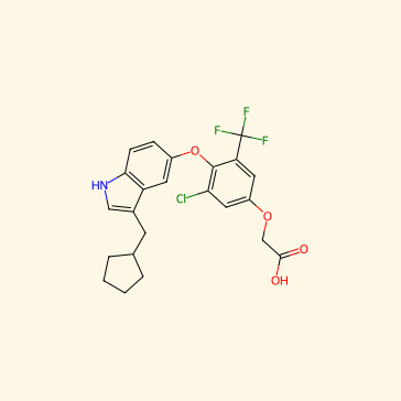 O=C(O)COc1cc(Cl)c(Oc2ccc3[nH]cc(CC4CCCC4)c3c2)c(C(F)(F)F)c1